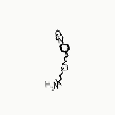 CC(C)(N)CCCCOCCCCc1ccc(N2CCOCC2)cc1